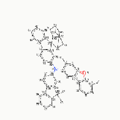 Cc1cc2oc3c(C)cccc3c2cc1N(c1ccc2c(c1)C(C)(C)c1ccccc1-2)c1ccc2c(c1)C1(c3ccccc3-2)C2CC3CC(C2)C1C3